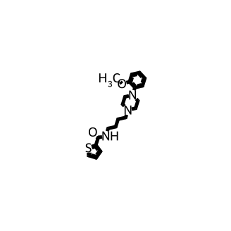 COc1ccccc1N1CCN(CCCCNC(=O)c2cccs2)CC1